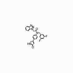 O=C1C=C(c2ccc(N(Cc3cc(F)cc(F)c3)C(=O)Cn3nnc4ccccc43)cc2)CN1